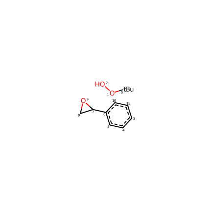 CC(C)(C)OO.c1ccc(C2CO2)cc1